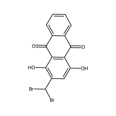 O=C1c2ccccc2C(=O)c2c(O)c(C(Br)Br)cc(O)c21